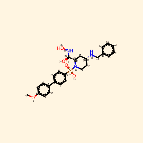 COc1ccc(-c2ccc(S(=O)(=O)N3CC[C@@H](NCc4ccccc4)C[C@@H]3C(=O)NO)cc2)cc1